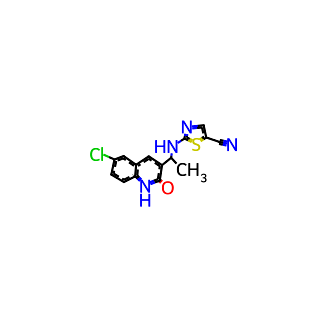 CC(Nc1ncc(C#N)s1)c1cc2cc(Cl)ccc2[nH]c1=O